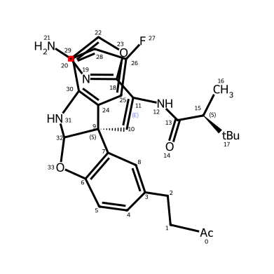 CC(=O)CCc1ccc2c(c1)[C@]1(/C=C(/NC(=O)[C@@H](C)C(C)(C)C)c3nc(N)co3)c3cc(F)ccc3NC1O2